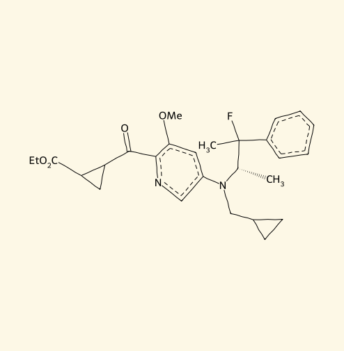 CCOC(=O)C1CC1C(=O)c1ncc(N(CC2CC2)[C@@H](C)C(C)(F)c2ccccc2)cc1OC